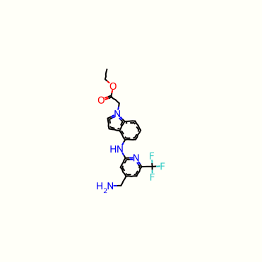 CCOC(=O)Cn1ccc2c(Nc3cc(CN)cc(C(F)(F)F)n3)cccc21